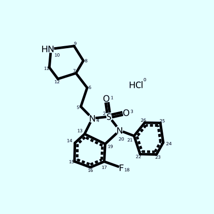 Cl.O=S1(=O)N(CCC2CCNCC2)c2cccc(F)c2N1c1ccccc1